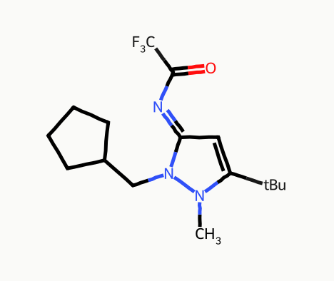 Cn1c(C(C)(C)C)cc(=NC(=O)C(F)(F)F)n1CC1CCCC1